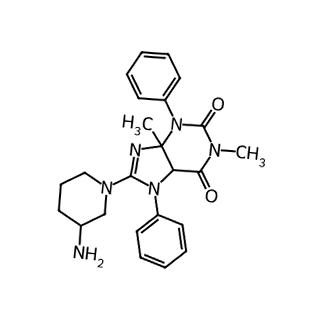 CN1C(=O)C2N(c3ccccc3)C(N3CCCC(N)C3)=NC2(C)N(c2ccccc2)C1=O